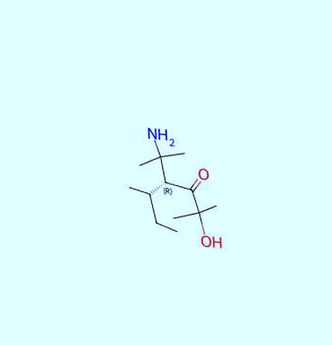 CCC(C)[C@@H](C(=O)C(C)(C)O)C(C)(C)N